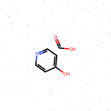 O=CO.Oc1ccncc1